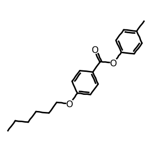 CCCCCCOc1ccc(C(=O)Oc2ccc(C)cc2)cc1